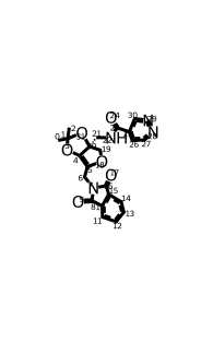 CC1(C)OC2=C(CN3C(=O)c4ccccc4C3=O)OC[C@]2(CNC(=O)c2ccnnc2)O1